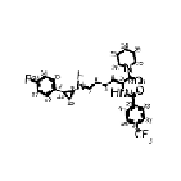 O=C(NC(CCCCN[C@@H]1C[C@H]1c1ccc(F)cc1)C(=O)N1CCCCC1)c1ccc(C(F)(F)F)cc1